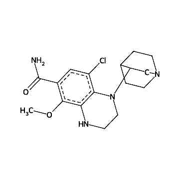 COc1c(C(N)=O)cc(Cl)c2c1NCCN2C1CN2CCC1CC2